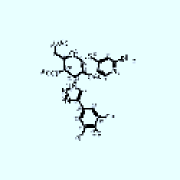 CC(=O)OCC1O[C@H](Sc2ccnc(N)c2)C(OC(C)=O)[C@@H](n2cc(-c3cc(F)c(F)c(F)c3)nn2)[C@H]1OC(C)=O